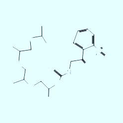 CC(C)OCC(C)OCC(C)OCC(C)OC(=O)NCC(=O)c1ccccc1S(=O)(=O)F